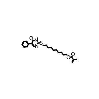 C=C(C)C(=O)OCCCCCCCCCCSc1ncc(-c2ccccc2)c(=O)n1C